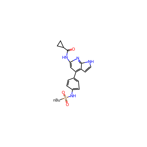 CCCCS(=O)(=O)Nc1ccc(-c2cc(NC(=O)C3CC3)nc3[nH]ccc23)cc1